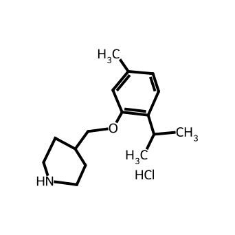 Cc1ccc(C(C)C)c(OCC2CCNCC2)c1.Cl